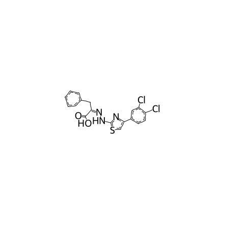 O=C(O)/C(Cc1ccccc1)=N\Nc1nc(-c2ccc(Cl)c(Cl)c2)cs1